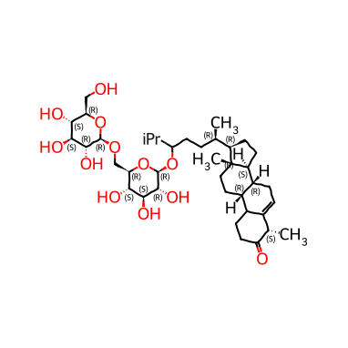 CC(C)C(CC[C@@H](C)[C@H]1CC[C@H]2[C@@H]3CC=C4C(CCC(=O)[C@H]4C)[C@@H]3CC[C@]12C)O[C@@H]1O[C@H](CO[C@@H]2O[C@H](CO)[C@@H](O)[C@H](O)[C@H]2O)[C@@H](O)[C@H](O)[C@H]1O